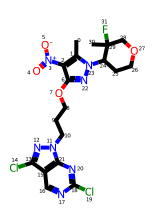 Cc1c([N+](=O)[O-])c(OCCCn2nc(Cl)c3cnc(Cl)nc32)nn1C1CCOCC1(C)F